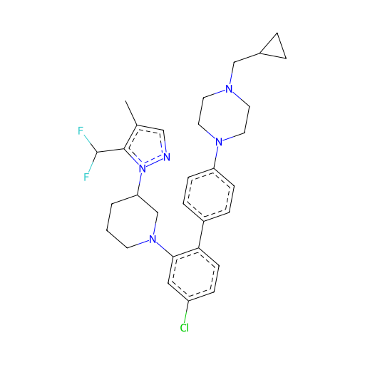 Cc1cnn(C2CCCN(c3cc(Cl)ccc3-c3ccc(N4CCN(CC5CC5)CC4)cc3)C2)c1C(F)F